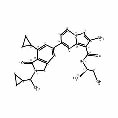 CC(C1CC1)N1Cc2cc(-c3ccn4nc(N)c(C(=O)N[C@H](C)CO)c4n3)cc(C3CC3)c2C1=O